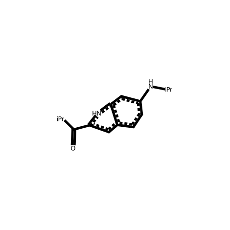 CC(C)Nc1ccc2cc(C(=O)C(C)C)[nH]c2c1